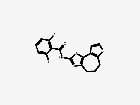 O=C(Nc1nc2c(s1)-c1ccsc1CCC2)c1c(F)cccc1F